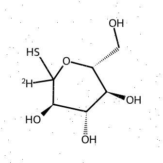 [2H]C1(S)O[C@H](CO)[C@@H](O)[C@H](O)[C@H]1O